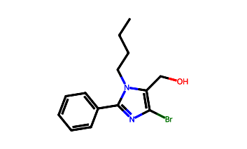 CCCCn1c(-c2ccccc2)nc(Br)c1CO